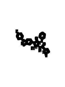 CC[C@@H]1[C@@H](NC(=O)c2ccn(C)n2)[C@H](Cc2ccccc2)C(=O)N1c1ccc2c(cnn2-c2ccc(F)cc2)c1